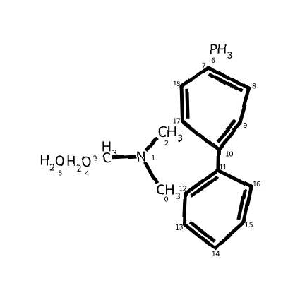 CN(C)C.O.O.P.c1ccc(-c2ccccc2)cc1